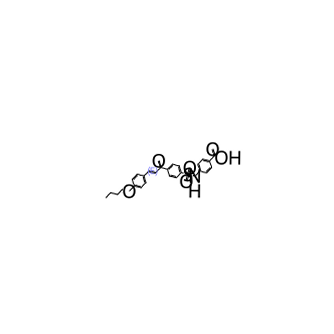 CCCCOc1ccc(/C=C/C(=O)c2ccc(S(=O)(=O)Nc3ccc(C(=O)O)cc3)cc2)cc1